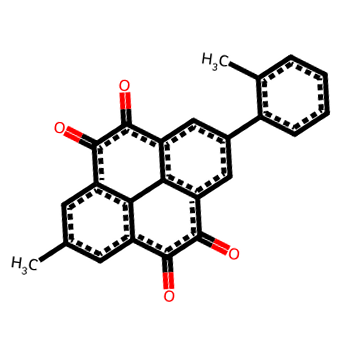 Cc1cc2c3c(c1)c(=O)c(=O)c1cc(-c4ccccc4C)cc(c1-3)c(=O)c2=O